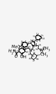 COc1ccc(-c2nc(-c3ccccc3)n(CCN(C)C)c2CN(Cc2ccc(C(N)=O)c(O)c2)CC2CCCCC2)cc1